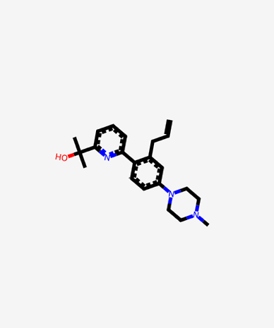 C=CCc1cc(N2CCN(C)CC2)c[c]c1-c1cccc(C(C)(C)O)n1